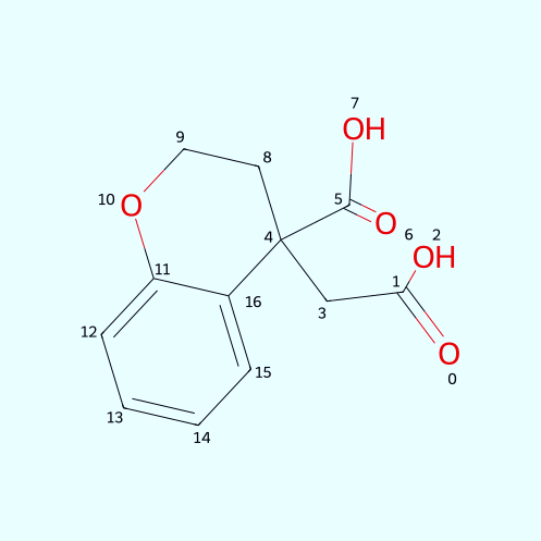 O=C(O)CC1(C(=O)O)CCOc2ccccc21